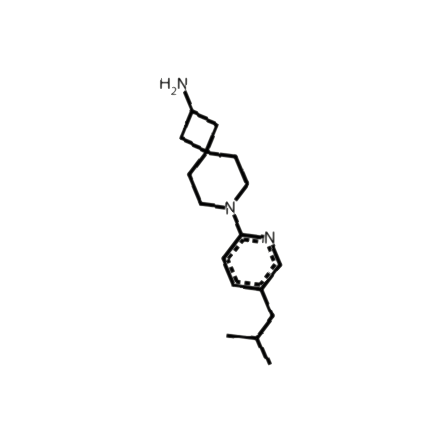 CC(C)Cc1ccc(N2CCC3(CC2)CC(N)C3)nc1